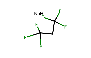 FC(F)(F)[CH]C(F)(F)F.[NaH]